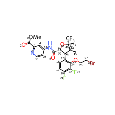 COC(=O)c1cc(NC(=O)[C@@H]2O[C@@](C)(C(F)(F)F)[C@@H](C)[C@H]2c2ccc(F)c(F)c2OCCBr)ccn1